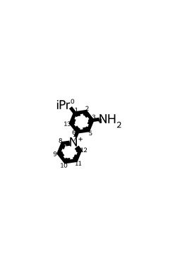 CC(C)c1cc(N)cc(-[n+]2ccccc2)c1